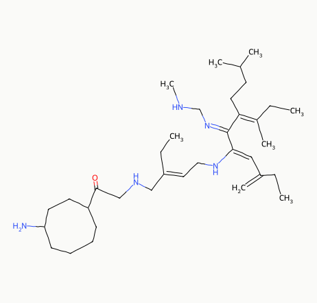 C=C(/C=C(NC/C=C(\CC)CNCC(=O)C1CCCCC(N)CC1)/C(=N/CNC)C(/CCC(C)C)=C(\C)CC)CC